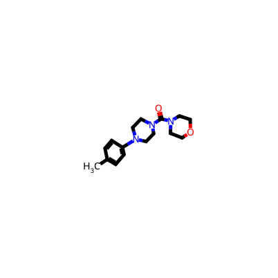 Cc1ccc(N2CCN(C(=O)N3CCOCC3)CC2)cc1